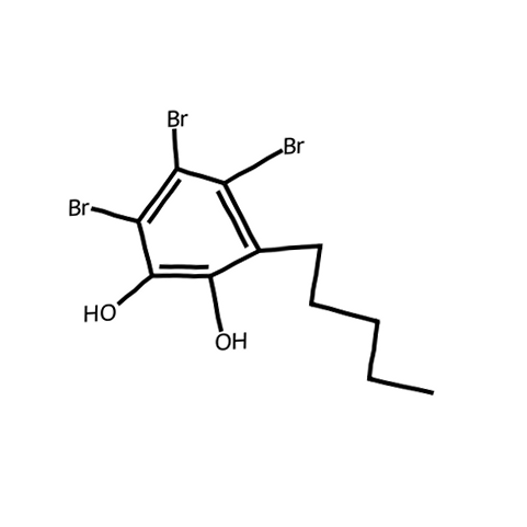 CCCCCc1c(O)c(O)c(Br)c(Br)c1Br